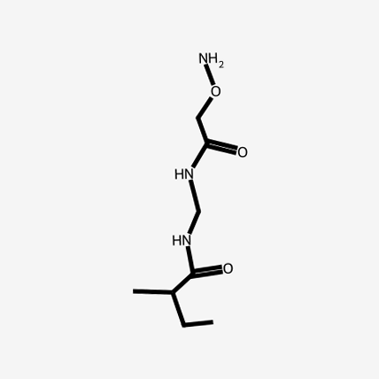 CCC(C)C(=O)NCNC(=O)CON